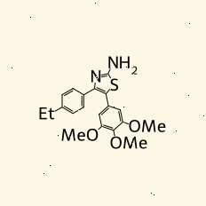 CCc1ccc(-c2nc(N)sc2-c2cc(OC)c(OC)c(OC)c2)cc1